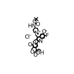 CC[C@@]1(O)C(=O)OCc2c1cc1n(c2=O)Cc2c-1nc1cc(F)c(OC)cc1c2C[N+]1(C)CCC(NC(=O)OC(C)(C)C)CC1.[Cl-]